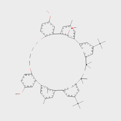 COc1ccc2c(c1)-c1cc(C)cc(c1O)-c1cc(C(C)(C)C)cc(c1)C(C)(C)CC(C)(C)c1cc(cc(C(C)(C)C)c1)-c1cc(C)cc(c1OC)-c1cc(OC)ccc1OCCCO2